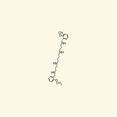 COc1ccccc1CNCCCNCCCCNCCCNCc1ccccc1OC